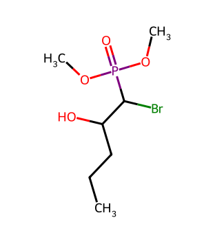 CCCC(O)C(Br)P(=O)(OC)OC